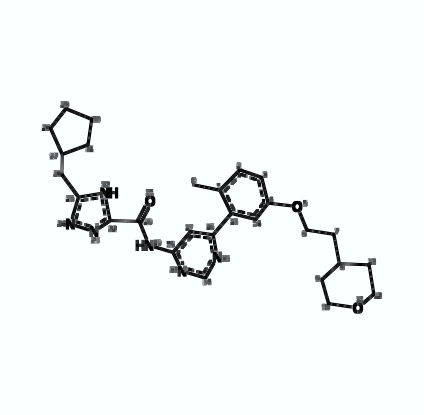 Cc1ccc(OCCC2CCOCC2)cc1-c1cc(NC(=O)c2nnc(CC3CCCC3)[nH]2)ncn1